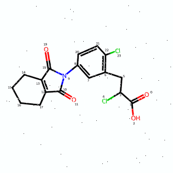 O=C(O)C(Cl)Cc1cc(N2C(=O)C3=C(CCCC3)C2=O)ccc1Cl